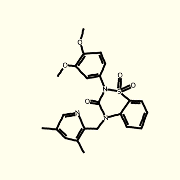 COc1ccc(N2C(=O)N(Cc3ncc(C)cc3C)c3ccccc3S2(=O)=O)cc1OC